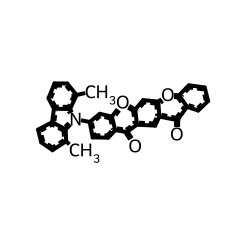 Cc1cccc2c3cccc(C)c3n(-c3ccc4c(=O)c5cc6c(=O)c7ccccc7oc6cc5oc4c3)c12